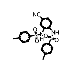 Cc1ccc(S(=O)(=O)Nc2ccc(C#N)cc2NS(=O)(=O)c2ccc(C)cc2)cc1